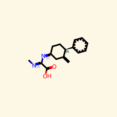 C=C1C/C(=N\C(=N/C)C(=O)O)CC[C@H]1c1ccccc1